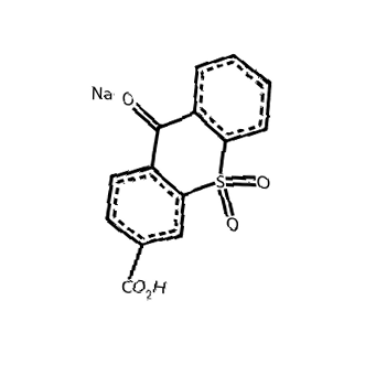 O=C(O)c1ccc2c(c1)S(=O)(=O)c1ccccc1C2=O.[Na]